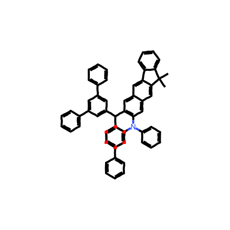 CC1(C)c2ccccc2-c2cc3cc(C(c4ccc(-c5ccccc5)cc4)c4cc(-c5ccccc5)cc(-c5ccccc5)c4)c(N(c4ccccc4)c4ccccc4)cc3cc21